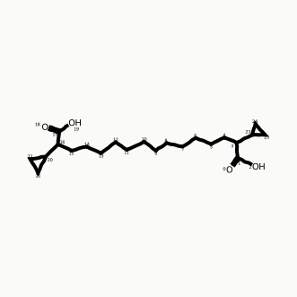 O=C(O)C(CCCCCCCCCCCCC(C(=O)O)C1CC1)C1CC1